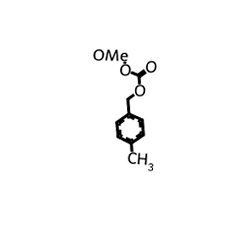 COOC(=O)OCc1ccc(C)cc1